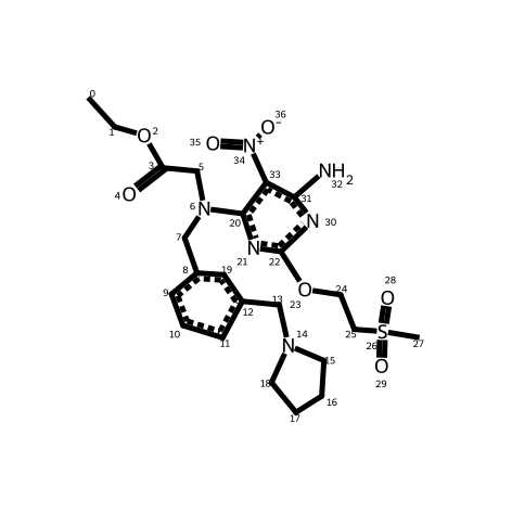 CCOC(=O)CN(Cc1cccc(CN2CCCC2)c1)c1nc(OCCS(C)(=O)=O)nc(N)c1[N+](=O)[O-]